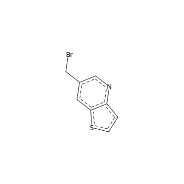 BrCc1cnc2ccsc2c1